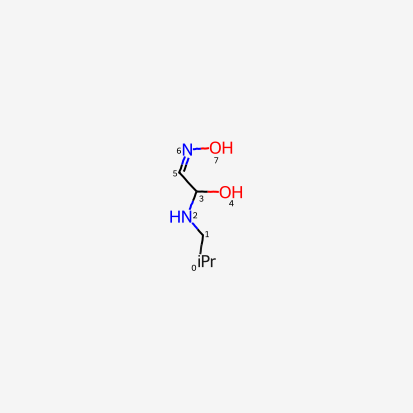 CC(C)CNC(O)/C=N\O